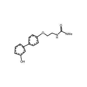 CNC(=O)NCCOc1ccc(-c2cccc(O)c2)cc1